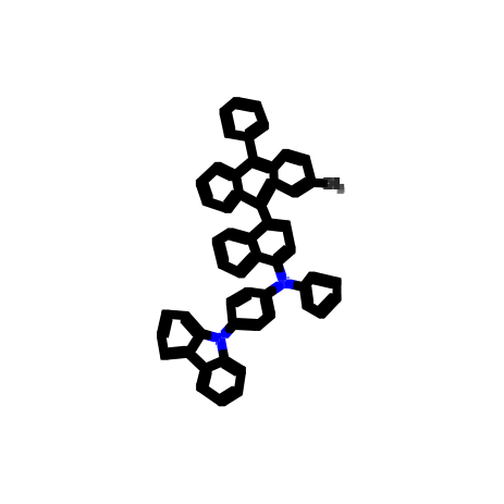 Cc1ccc2c(-c3ccccc3)c3ccccc3c(-c3ccc(N(c4ccccc4)c4ccc(-n5c6ccccc6c6ccccc65)cc4)c4ccccc34)c2c1